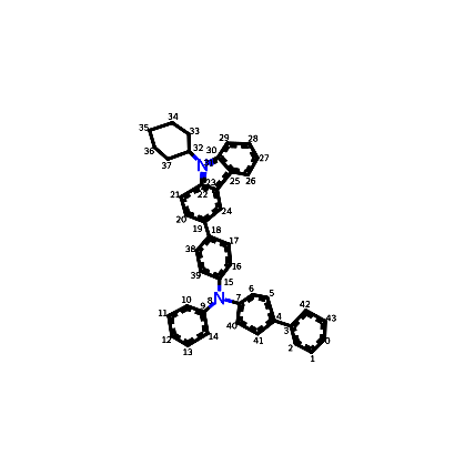 c1ccc(-c2ccc(N(c3ccccc3)c3ccc(-c4ccc5c(c4)c4ccccc4n5C4CCCCC4)cc3)cc2)cc1